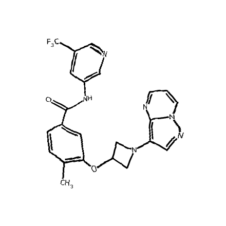 Cc1ccc(C(=O)Nc2cncc(C(F)(F)F)c2)cc1OC1CN(c2cnn3cccnc23)C1